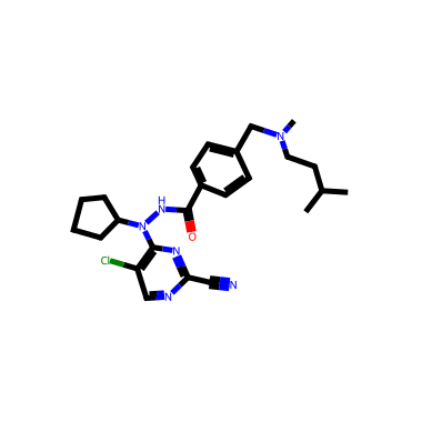 CC(C)CCN(C)Cc1ccc(C(=O)NN(c2nc(C#N)ncc2Cl)C2CCCC2)cc1